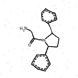 NCC(=O)N1C(c2ccccc2)CCC1c1ccccc1